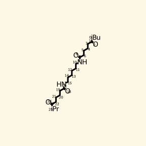 CCC(C)C(=O)CCCCC(=O)NCCCCCCNC(=O)CCCCC(=O)C(C)C